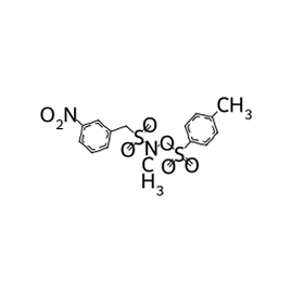 Cc1ccc(S(=O)(=O)ON(C)S(=O)(=O)Cc2cccc([N+](=O)[O-])c2)cc1